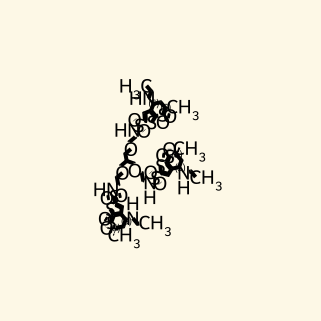 CCN[C@H]1C[C@H](C)S(=O)(=O)c2sc(S(=O)(=O)NCCOCC(COCCNS(=O)(=O)c3cc4c(s3)S(=O)(=O)[C@@H](C)C[C@@H]4NCC)COCCNS(=O)(=O)c3cc4c(s3)S(=O)(=O)[C@@H](C)C[C@@H]4NCC)cc21